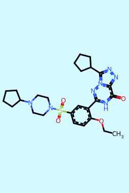 CCOc1ccc(S(=O)(=O)N2CCN(C3CCCC3)CC2)cc1-c1nn2c(C3CCCC3)nnc2c(=O)[nH]1